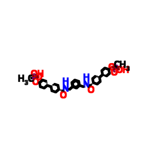 CP(=O)(O)O[C@H]1CC[C@@H]([C@H]2CC[C@@H](C(=O)NCc3cccc(CNC(=O)[C@H]4CC[C@@H]([C@H]5CC[C@@H](OP(C)(=O)O)CC5)CC4)c3)CC2)CC1